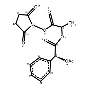 CC(=O)O[C@H](C(=O)OC(C)C(=O)ON1C(=O)CCC1=O)c1ccccc1